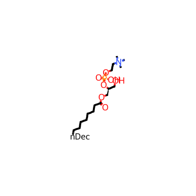 CCCCCCCCCCCCCCCCCC(=O)OC[C@H](CO)OP(=O)(O)OCC[N+](C)(C)C